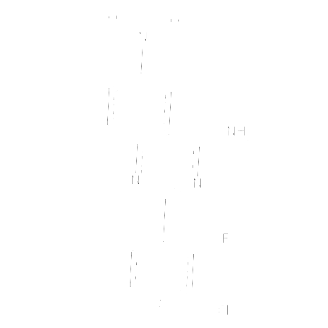 Nc1nc(-c2cccc(Cl)c2F)nc2cc(F)c([N+](=O)[O-])cc12